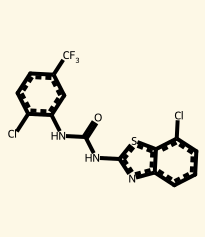 O=C(Nc1nc2cccc(Cl)c2s1)Nc1cc(C(F)(F)F)ccc1Cl